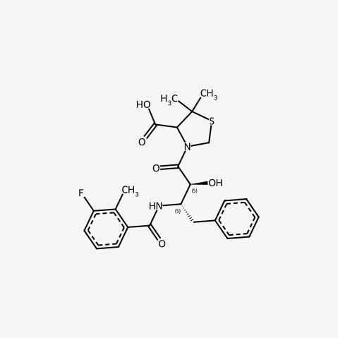 Cc1c(F)cccc1C(=O)N[C@@H](Cc1ccccc1)[C@H](O)C(=O)N1CSC(C)(C)C1C(=O)O